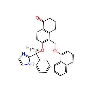 C[C@](Oc1ccc2c(c1COc1cccc3ccccc13)CCCC2=O)(c1ccccc1)c1ncc[nH]1